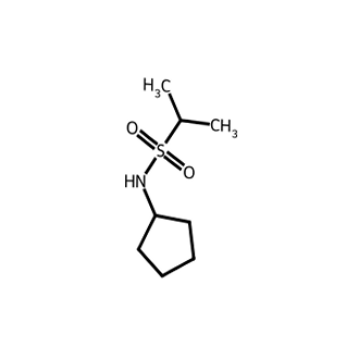 CC(C)S(=O)(=O)NC1CCCC1